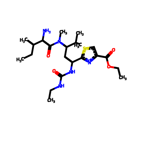 CCNC(=O)NC(CC(C(C)C)N(C)C(=O)C(N)C(C)CC)c1nc(C(=O)OCC)cs1